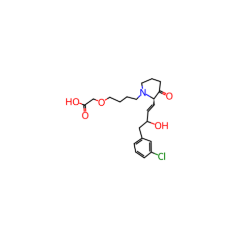 O=C(O)COCCCCN1CCCC(=O)[C@H]1C=CC(O)Cc1cccc(Cl)c1